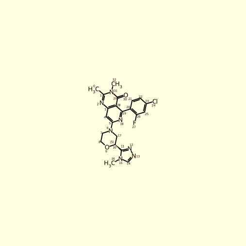 Cc1nc2cc(N3CCO[C@H](c4nncn4C)C3)nc(-c3ccc(Cl)cc3F)c2c(=O)n1C